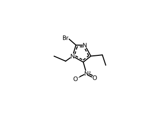 CCc1nc(Br)n(CC)c1[N+](=O)[O-]